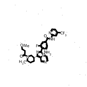 COCCC(=O)N1C[C@H](C2=C3C=NC=C[N+]3(N)C(c3ccc(C(=O)Nc4cc(C(F)(F)F)ccn4)cc3F)=N2)CC[C@@H]1C